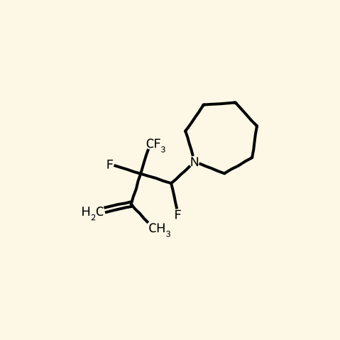 C=C(C)C(F)(C(F)N1CCCCCC1)C(F)(F)F